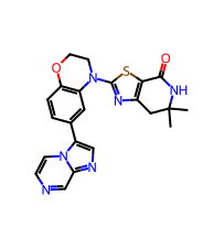 CC1(C)Cc2nc(N3CCOc4ccc(-c5cnc6cnccn56)cc43)sc2C(=O)N1